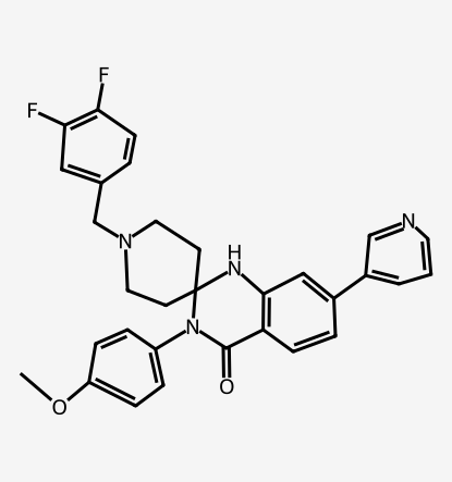 COc1ccc(N2C(=O)c3ccc(-c4cccnc4)cc3NC23CCN(Cc2ccc(F)c(F)c2)CC3)cc1